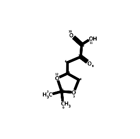 CC1(C)OCC(CC(=O)C(=O)O)O1